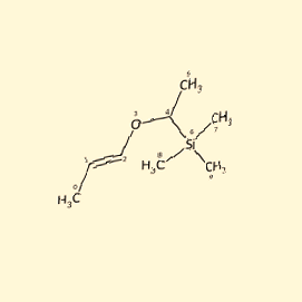 CC=COC(C)[Si](C)(C)C